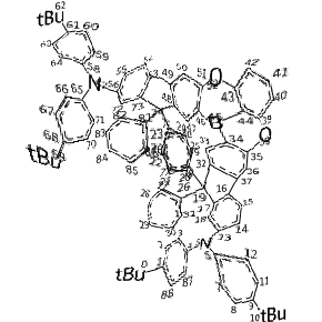 CC(C)(C)c1ccc(N(c2ccc(C(C)(C)C)cc2)c2ccc3c(c2)C(c2ccccc2)(c2ccccc2)c2cc4c(cc2-3)Oc2cccc3c2B4c2cc4c(cc2O3)-c2ccc(N(c3ccc(C(C)(C)C)cc3)c3ccc(C(C)(C)C)cc3)cc2C4(c2ccccc2)c2ccccc2)cc1